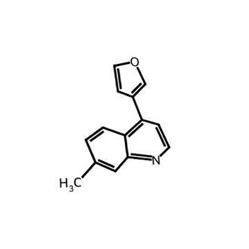 Cc1ccc2c(-c3ccoc3)ccnc2c1